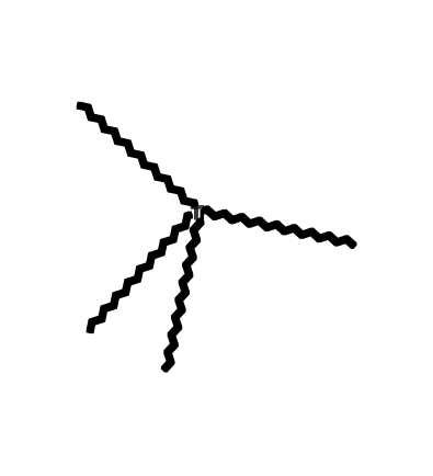 CCCCCCCCCCCCCCCCC[CH2][Ti]([CH2]CCCCCCCCCCCCCCCCC)([CH2]CCCCCCCCCCCCCCCCC)[CH2]CCCCCCCCCCCCCCCCC